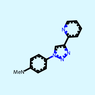 CNc1ccc(-n2cc(-c3ccccn3)nn2)cc1